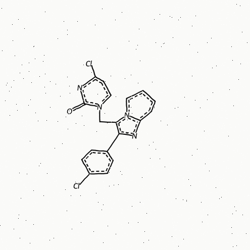 O=c1nc(Cl)ccn1Cc1c(-c2ccc(Cl)cc2)nc2ccccn12